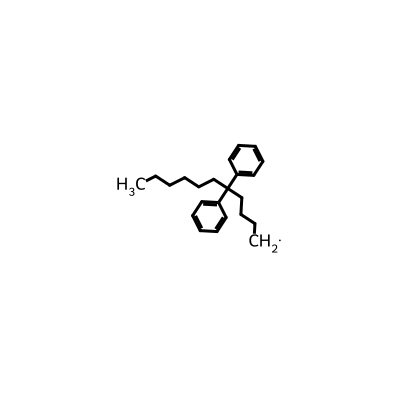 [CH2]CCCC(CCCCCC)(c1ccccc1)c1ccccc1